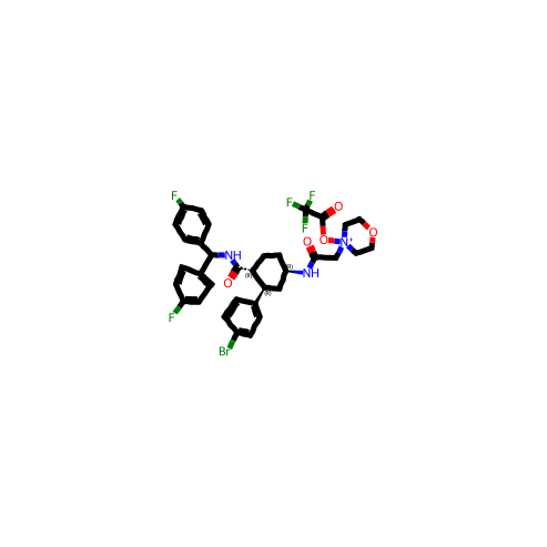 O=C(C[N+]1(OC(=O)C(F)(F)F)CCOCC1)N[C@@H]1CC[C@@H](C(=O)NC(c2ccc(F)cc2)c2ccc(F)cc2)[C@H](c2ccc(Br)cc2)C1